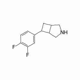 Fc1ccc(C2CC3CNCC32)cc1F